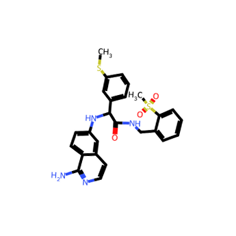 CSc1cccc(C(Nc2ccc3c(N)nccc3c2)C(=O)NCc2ccccc2S(C)(=O)=O)c1